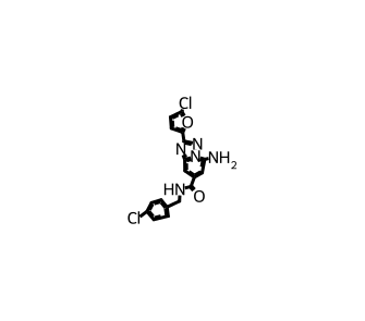 Nc1cc(C(=O)NCc2ccc(Cl)cc2)cc2nc(-c3ccc(Cl)o3)nn12